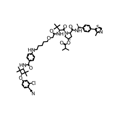 Cc1ncsc1-c1ccc([C@H](C)NC(=O)C2C[C@@H](OC(=O)C(C)C)CN2C(=O)C(NC(=O)COCCCCCNc2ccc(C(=O)N[C@H]3C(C)(C)[C@H](Oc4ccc(C#N)c(Cl)c4)C3(C)C)cc2)C(C)(C)C)cc1